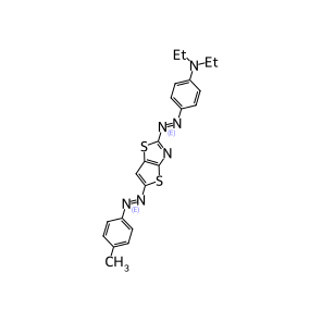 CCN(CC)c1ccc(/N=N/c2nc3sc(/N=N/c4ccc(C)cc4)cc3s2)cc1